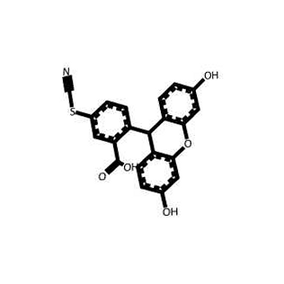 N#CSc1ccc(C2c3ccc(O)cc3Oc3cc(O)ccc32)c(C(=O)O)c1